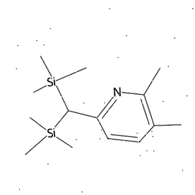 Cc1ccc(C([Si](C)(C)C)[Si](C)(C)C)nc1C